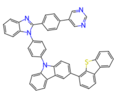 c1ccc2c(c1)nc(-c1ccc(-c3cncnc3)cc1)n2-c1ccc(-n2c3ccccc3c3cc(-c4cccc5c4sc4ccccc45)ccc32)cc1